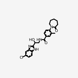 Cc1cc(C(=O)NCC(O)c2nc3cc(Cl)ccc3[nH]2)ccc1N1CCCCCC1=O